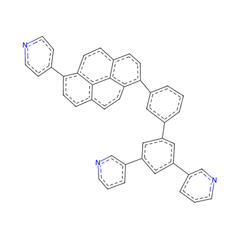 c1cncc(-c2cc(-c3cccnc3)cc(-c3cccc(-c4ccc5ccc6c(-c7ccncc7)ccc7ccc4c5c76)c3)c2)c1